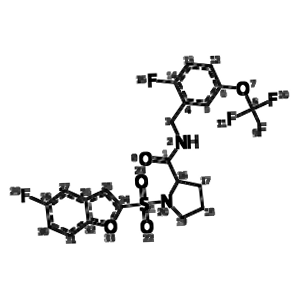 O=C(NCc1cc(OC(F)(F)F)ccc1F)C1CCCN1S(=O)(=O)c1cc2cc(F)ccc2o1